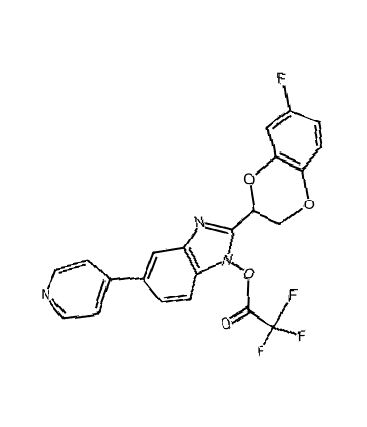 O=C(On1c(C2COc3ccc(F)cc3O2)nc2cc(-c3ccncc3)ccc21)C(F)(F)F